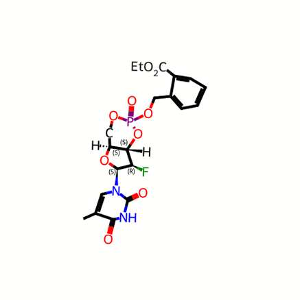 CCOC(=O)c1ccccc1COP1(=O)OC[C@@H]2O[C@H](n3cc(C)c(=O)[nH]c3=O)[C@H](F)[C@H]2O1